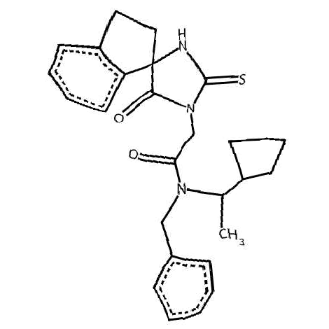 CC(C1CCC1)N(Cc1ccccc1)C(=O)CN1C(=O)C2(CCc3ccccc32)NC1=S